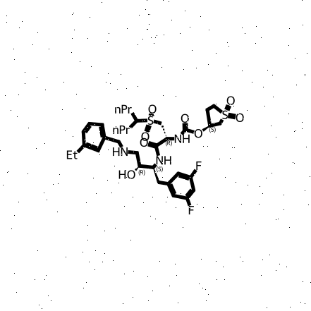 CCCC(CCC)S(=O)(=O)C[C@H](NC(=O)O[C@H]1CCS(=O)(=O)C1)C(=O)N[C@@H](Cc1cc(F)cc(F)c1)[C@H](O)CNCc1cccc(CC)c1